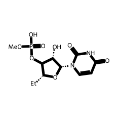 CC[C@H]1O[C@@H](n2ccc(=O)[nH]c2=O)[C@@H](O)C1OP(=O)(O)OC